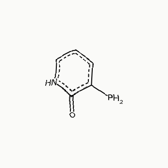 O=c1[nH]cccc1P